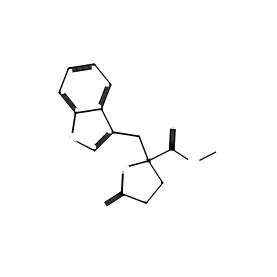 COC(=O)C1(Cc2c[nH]c3ccccc23)CCC(=O)O1